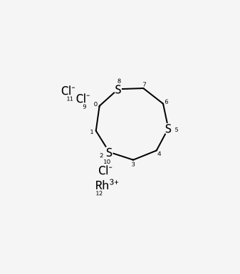 C1CSCCSCCS1.[Cl-].[Cl-].[Cl-].[Rh+3]